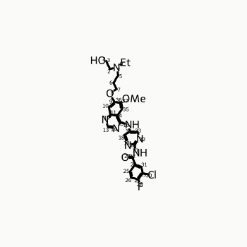 CCN(CCO)CCCOc1cc2ncnc(Nc3cnc(NC(=O)c4ccc(F)c(Cl)c4)nc3)c2cc1OC